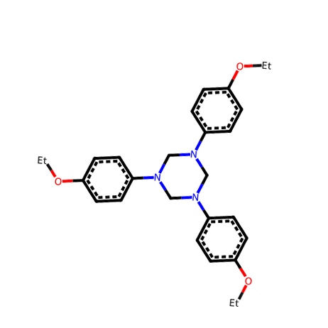 CCOc1ccc(N2CN(c3ccc(OCC)cc3)CN(c3ccc(OCC)cc3)C2)cc1